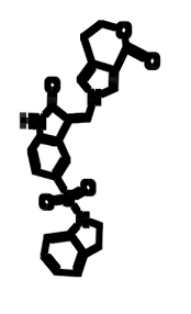 O=C1Nc2ccc(S(=O)(=O)N3CCc4ccccc43)cc2/C1=C/n1cc2c(c1)C(=O)OCC2